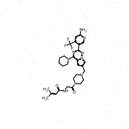 CC(C)=CC(=O)NCC(=O)N1CCN(Cc2cc3c(N4CCCCC4)nc(-c4cnc(N)cc4C(F)(F)F)nn3c2)CC1